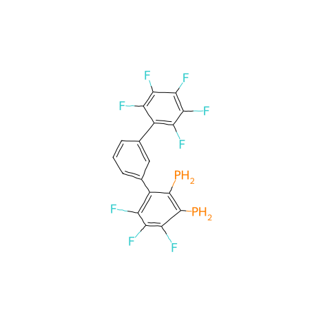 Fc1c(F)c(F)c(-c2cccc(-c3c(F)c(F)c(F)c(P)c3P)c2)c(F)c1F